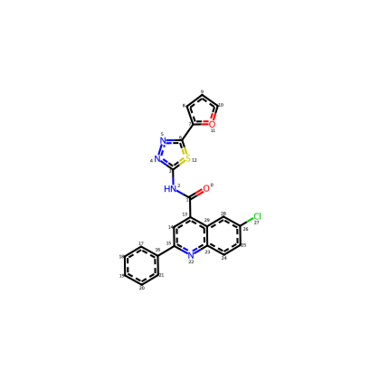 O=C(Nc1nnc(-c2ccco2)s1)c1cc(-c2ccccc2)nc2ccc(Cl)cc12